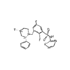 O=S(=O)(Nc1ncns1)c1cc(F)cc(CN2CC[C@@H](F)C[C@H]2c2ccccc2)c1F